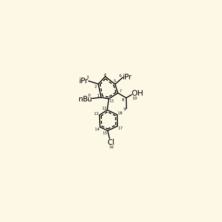 CCCCc1c(C(C)C)cc(C(C)C)c(C(C)O)c1-c1ccc(Cl)cc1